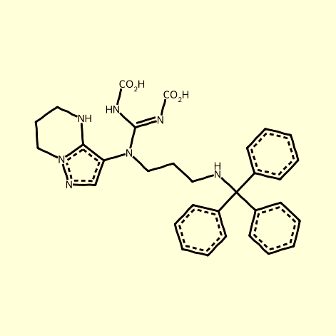 O=C(O)N=C(NC(=O)O)N(CCCNC(c1ccccc1)(c1ccccc1)c1ccccc1)c1cnn2c1NCCC2